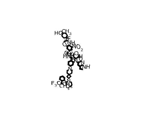 CC1(O)CCC(F)([C@@H]2COc3cc(S(=O)(=O)NC(=O)c4ccc(N5CCC6(CC5)CC(N5CCCOC[C@H]5c5ccccc5C(C)(C)C(F)(F)F)C6)cc4N4c5cc6cc[nH]c6nc5O[C@H]5COCC[C@@H]54)cc([N+](=O)[O-])c3N2)CC1